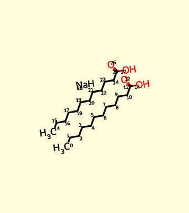 CCCCCCCCCCCC(=O)O.CCCCCCCCCCCC(=O)O.[NaH]